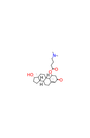 CN(C)CCCC(=O)OC1CC(=O)C=C2CC[C@H]3[C@@H]4CC[C@H](O)[C@@]4(C)CC[C@@H]3[C@]21C